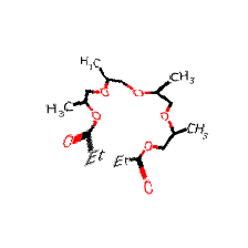 CCC(=O)OCC(C)OCC(C)OCC(C)OCC(C)OC(=O)CC